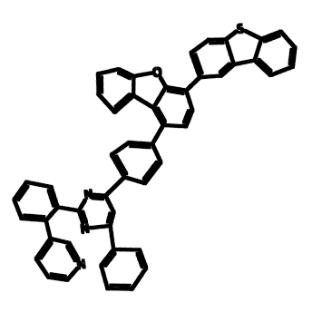 c1ccc(-c2cc(-c3ccc(-c4ccc(-c5ccc6sc7ccccc7c6c5)c5oc6ccccc6c45)cc3)nc(-c3ccccc3-c3cccnc3)n2)cc1